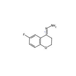 N/N=C1\CCOc2ccc(F)cc21